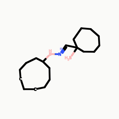 BC1(/C=N/BC2CCCCCCCCC2)CCCCCCC1